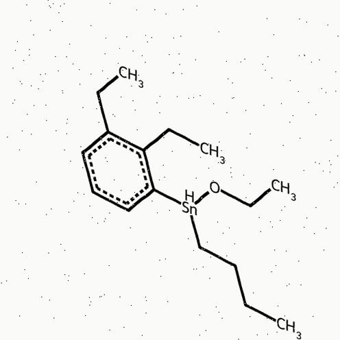 CCC[CH2][SnH]([O]CC)[c]1cccc(CC)c1CC